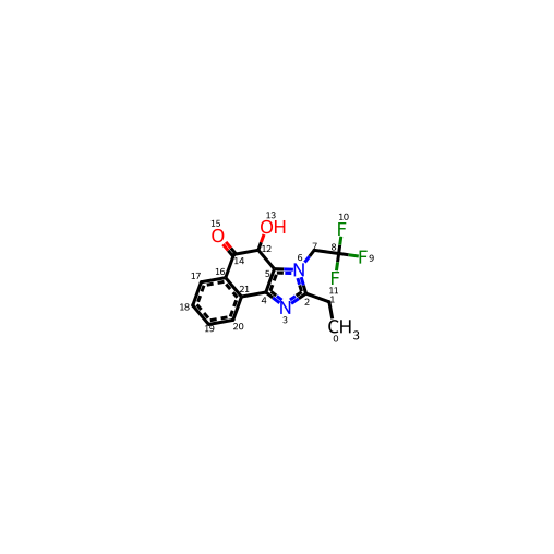 CCc1nc2c(n1CC(F)(F)F)C(O)C(=O)c1ccccc1-2